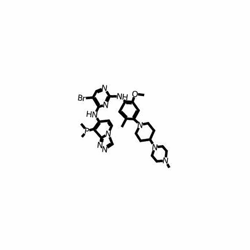 COc1cc(N2CCC(N3CCN(C)CC3)CC2)c(C)cc1Nc1ncc(Br)c(Nc2ccn3cnnc3c2P(C)C)n1